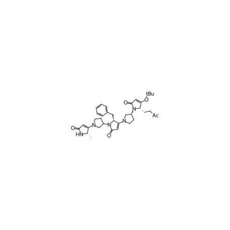 CC(=O)CC[C@H]1C(OC(C)(C)C)=CC(=O)N1[C@H]1CCN(C2=CC(=O)N(C3CCN(C4=CC(=O)N[C@H]4C)C3)[C@H]2Cc2ccccc2)C1